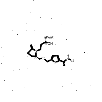 C=C(NCC)c1ccc(COC[C@H]2CCC(=C)N2CC[C@@H](O)CCCCC)s1